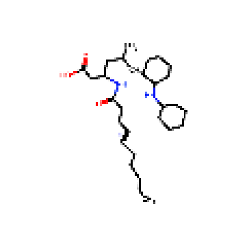 C1CCC(NC2CCCCC2)CC1.CCCCC/C=C/CCC(=O)NC(CC(=O)O)CC(C)C